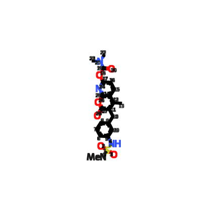 CNS(=O)(=O)Nc1cccc(Cc2c(C)c3ccc(OC(=O)N(C)C)nc3oc2=O)c1